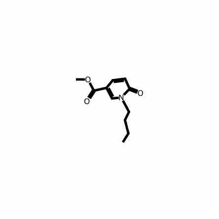 CCCCn1cc(C(=O)OC)ccc1=O